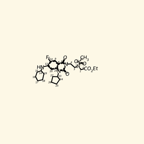 CCOC(=O)CN(CCn1c(=O)c2cc(F)c(NC3CCCCC3)cc2n(C2CCCC2)c1=O)S(C)(=O)=O